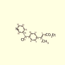 CCOC(=O)C=C(C)c1ccc(C(Cl)c2cccnc2)cc1